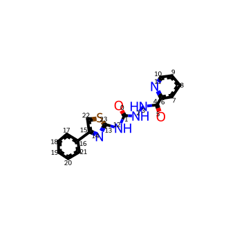 O=C(NNC(=O)c1ccccn1)Nc1nc(-c2ccccc2)cs1